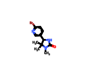 CN1C(=O)NC(c2ccc(Br)nc2)C1(C)C